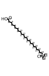 O=C(O)CCCCCCCCCCCCCCCCCCCCCC[Si](Cl)(Cl)Cl